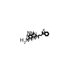 CN(CCc1csc2ccccc12)c1ncc2c(N)nc(N)nc2n1